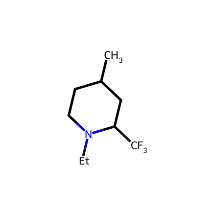 CCN1CCC(C)CC1C(F)(F)F